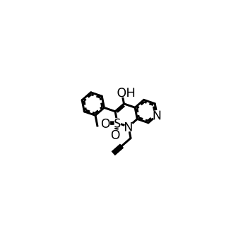 C#CCN1c2cnccc2C(O)=C(c2ccccc2C)S1(=O)=O